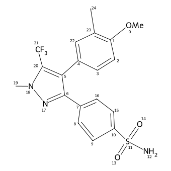 COc1ccc(-c2c(-c3ccc(S(N)(=O)=O)cc3)nn(C)c2C(F)(F)F)cc1C